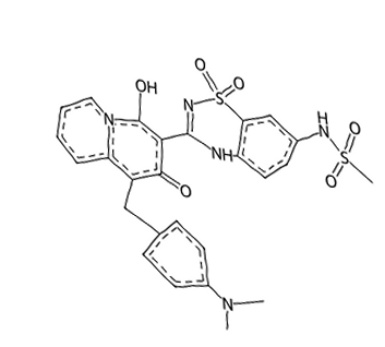 CN(C)c1ccc(Cc2c(=O)c(C3=NS(=O)(=O)c4cc(NS(C)(=O)=O)ccc4N3)c(O)n3ccccc23)cc1